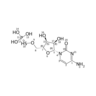 Nc1ccn([C@@H]2O[C@H](CO[SH]=P(O)(O)O)[C@@H](O)[C@H]2O)c(=O)n1